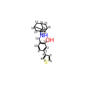 Oc1cc(-c2ccsc2)ccc1CNC12CC3CC(CC(C3)C1)C2